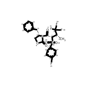 C[C@H]([C@@H](C(=O)N1C(=O)OC[C@@H]1Cc1ccccc1)S(=O)(=O)c1ccc(F)cc1)C(F)(F)F